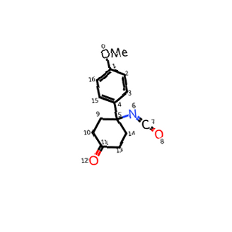 COc1ccc(C2(N=C=O)CCC(=O)CC2)cc1